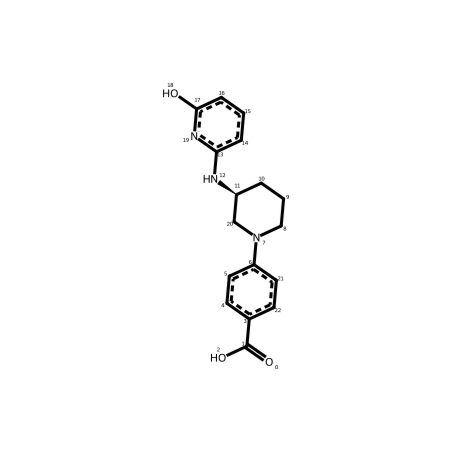 O=C(O)c1ccc(N2CCC[C@H](Nc3cccc(O)n3)C2)cc1